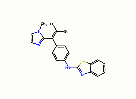 CCC(CC)=C(c1ccc(Nc2nc3ccccc3s2)cc1)c1nccn1C